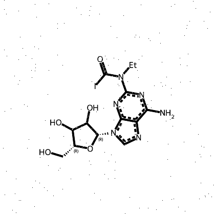 CCN(C(=O)I)c1nc(N)c2ncn([C@@H]3O[C@H](CO)C(O)C3O)c2n1